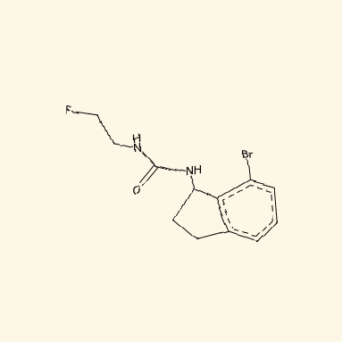 O=C(NCCF)NC1CCc2cccc(Br)c21